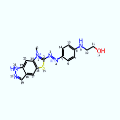 C[n+]1c(/N=N/c2ccc(NCCO)cc2)sc2cc3cn[nH]c3cc21